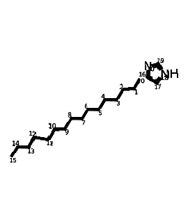 CCCCCCCCCCCCCCCC.c1c[nH]cn1